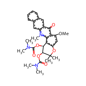 COc1cc2c(c3c1c(=O)c1cc4ccccc4cc1n3C)[C@H](OC(=O)N(C)C)[C@H](OC(=O)N(C)C)C(C)(C)O2